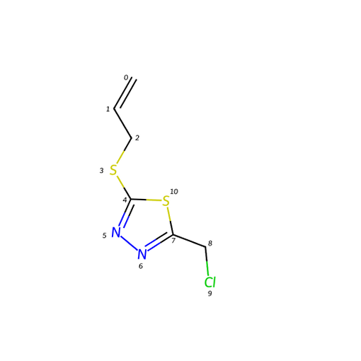 C=CCSc1nnc(CCl)s1